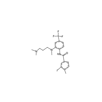 Cc1ccc(C(=O)Nc2ccc(C(F)(F)F)cc2N(C)CCCN(C)C)cc1I